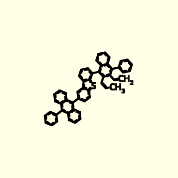 C=Cc1c(/C=C\C)c(-c2cccc3c2sc2ccc(-c4c5ccccc5c(-c5ccccc5)c5ccccc45)cc23)c2ccccc2c1-c1ccccc1